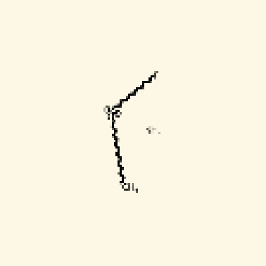 CCCCCCCCCCCCCCCOS(=O)(=O)CCCCCCCCCCCF.N